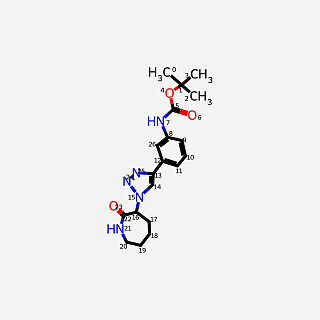 CC(C)(C)OC(=O)Nc1cccc(-c2cn(C3CCCCNC3=O)nn2)c1